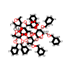 CC(=O)OC1[C@H](C)OC(C)[C@H](OCc2ccccc2)[C@@H]1O[C@@H]1OC(C)[C@H](OCc2ccccc2)[C@H](OCc2ccccc2)C1O[C@@H]1OC(C)[C@H](OCc2ccccc2)[C@H](O[C@H]2O[C@@H](COCc3ccccc3)[C@@H](OCc3ccccc3)C(OCc3ccccc3)C2OCc2ccccc2)C1O